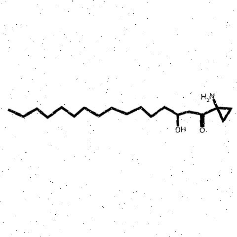 CCCCCCCCCCCCCC(O)CC(=O)C1(N)CC1